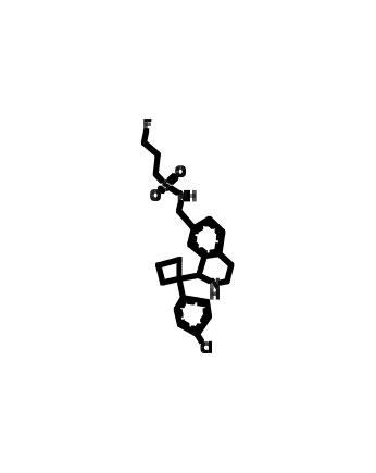 O=S(=O)(CCCF)NCc1ccc2c(c1)C(C1(c3ccc(Cl)cc3)CCC1)NCC2